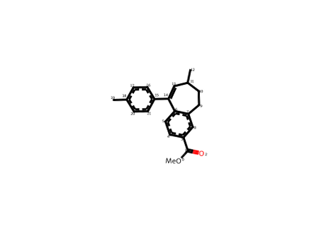 COC(=O)c1ccc2c(c1)CCC(C)C=C2c1ccc(C)cc1